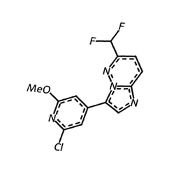 COc1cc(-c2cnc3ccc(C(F)F)nn23)cc(Cl)n1